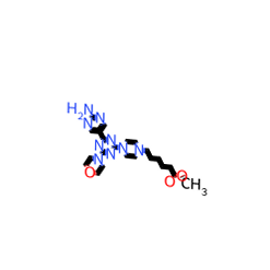 COC(=O)CCCCCN1CCN(c2nc(-c3cnc(N)nc3)nc(N3CCOCC3)n2)CC1